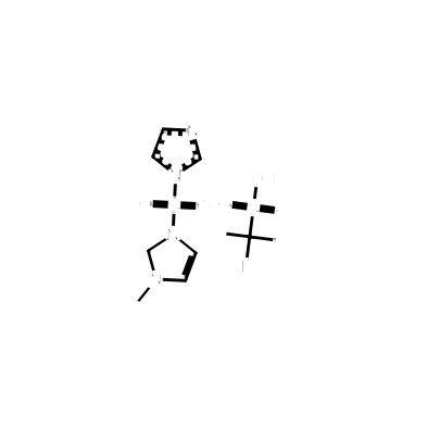 CN1C=CN(S(=O)(=O)n2ccnc2)C1.O=S(=O)(O)C(F)(F)F